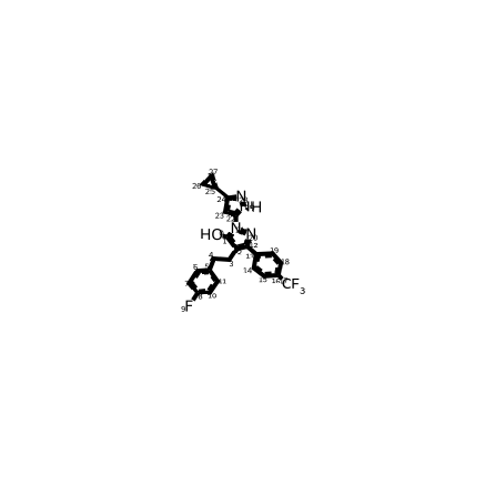 Oc1c(CCc2ccc(F)cc2)c(-c2ccc(C(F)(F)F)cc2)nn1-c1cc(C2CC2)n[nH]1